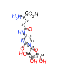 NC(CCC(=O)Nc1ccn([C@@H]2O[C@H](CO)[C@H](O)C2O)c(=O)n1)C(=O)O